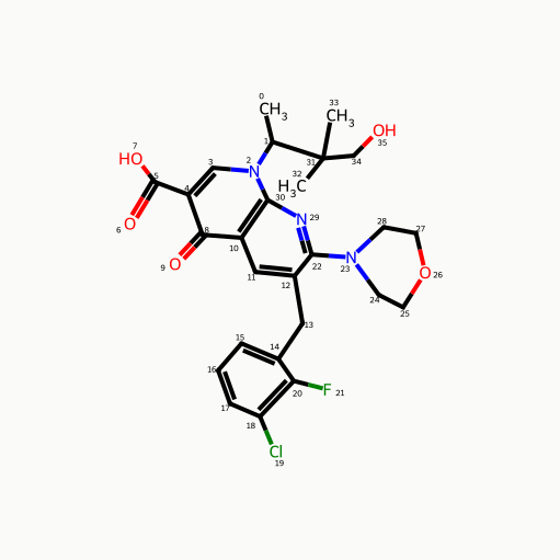 CC(n1cc(C(=O)O)c(=O)c2cc(Cc3cccc(Cl)c3F)c(N3CCOCC3)nc21)C(C)(C)CO